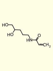 C=CC(=O)NCCCC(O)CO